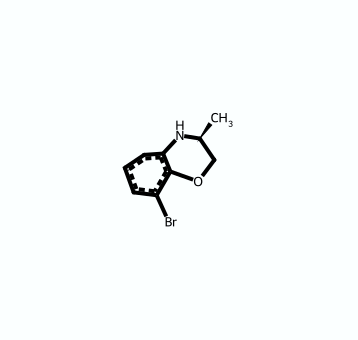 C[C@H]1COc2c(Br)cccc2N1